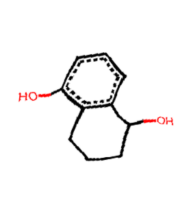 Oc1cccc2c1CCCC2O